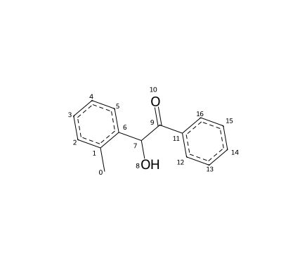 Cc1ccccc1C(O)C(=O)c1ccccc1